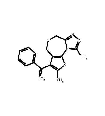 C=C(c1ccccc1)c1c(C)sc2c1COCc1nnc(C)n1-2